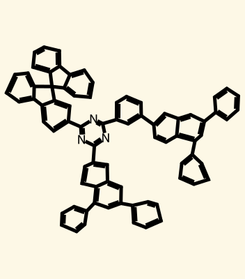 c1ccc(-c2cc(-c3ccccc3)c3ccc(-c4cccc(-c5nc(-c6ccc7c(c6)C6(c8ccccc8-c8ccccc86)c6ccccc6-7)nc(-c6ccc7c(-c8ccccc8)cc(-c8ccccc8)cc7c6)n5)c4)cc3c2)cc1